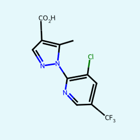 Cc1c(C(=O)O)cnn1-c1ncc(C(F)(F)F)cc1Cl